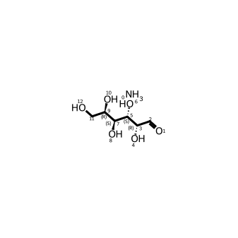 N.O=C[C@H](O)[C@@H](O)[C@@H](O)[C@H](O)CO